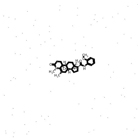 COc1ccccc1NC(=O)[C@H]1CC[C@H]2[C@@H]3CC(C)=C4N(C)C(=O)CC[C@]4(C)[C@H]3CC[C@]12C